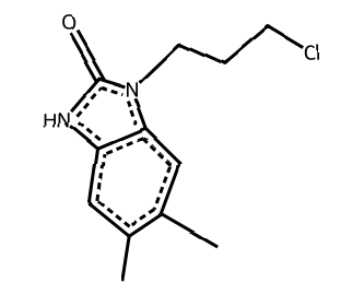 Cc1cc2[nH]c(=O)n(CCCCl)c2cc1C